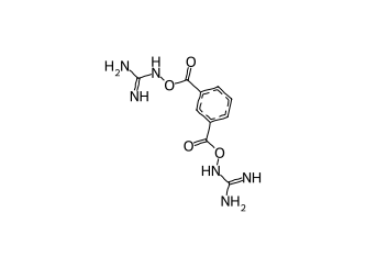 N=C(N)NOC(=O)c1cccc(C(=O)ONC(=N)N)c1